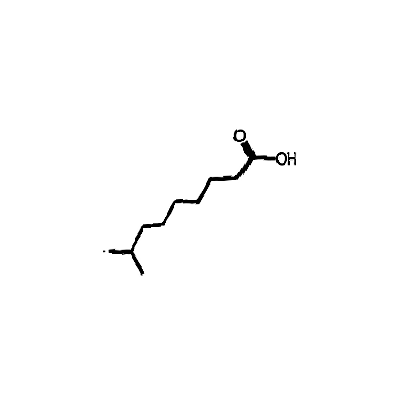 [CH2]C(C)CCCCCCC(=O)O